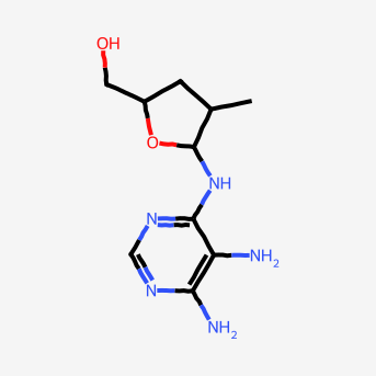 CC1CC(CO)OC1Nc1ncnc(N)c1N